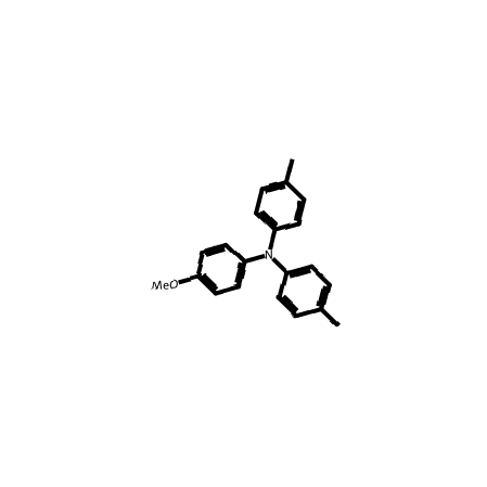 COc1ccc(N(c2ccc(C)cc2)c2ccc(C)cc2)cc1